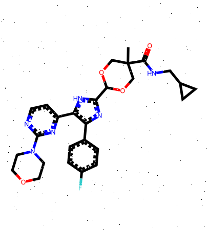 CC1(C(=O)NCC2CC2)COC(c2nc(-c3ccc(F)cc3)c(-c3ccnc(N4CCOCC4)n3)[nH]2)OC1